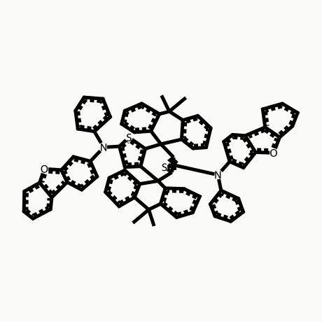 CC1(C)c2ccccc2C2(c3ccccc31)c1cc(N(c3ccccc3)c3ccc4c(c3)oc3ccccc34)sc1C1(c3ccccc3C(C)(C)c3ccccc31)c1cc(N(c3ccccc3)c3ccc4c(c3)oc3ccccc34)sc12